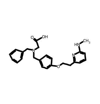 CNc1cccc(CCOc2ccc(CN(CC(=O)O)Cc3ccccc3)cc2)n1